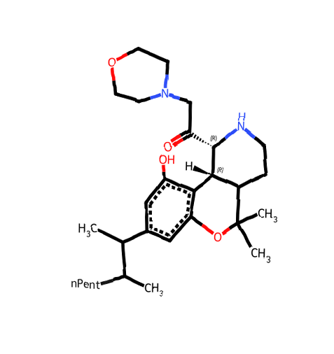 CCCCCC(C)C(C)c1cc(O)c2c(c1)OC(C)(C)C1CCN[C@@H](C(=O)CN3CCOCC3)[C@@H]21